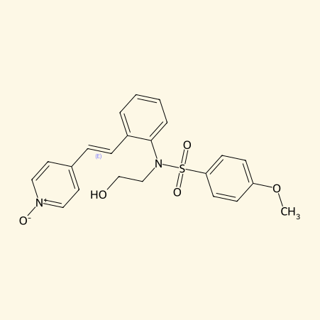 COc1ccc(S(=O)(=O)N(CCO)c2ccccc2/C=C/c2cc[n+]([O-])cc2)cc1